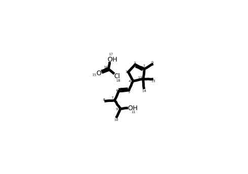 CC1=CCC(C=CC(C)C(C)O)C1(C)C.O=C(O)Cl